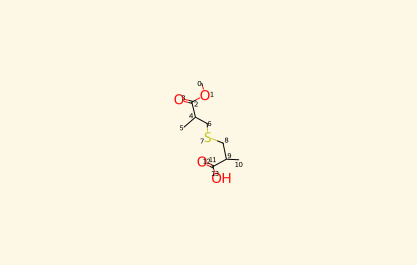 COC(=O)C(C)CSCC(C)C(=O)O